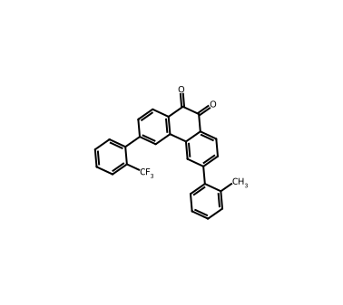 Cc1ccccc1-c1ccc2c(c1)-c1cc(-c3ccccc3C(F)(F)F)ccc1C(=O)C2=O